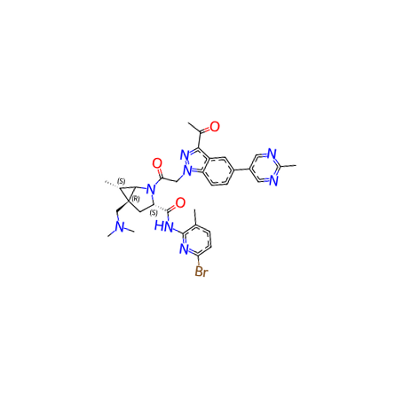 CC(=O)c1nn(CC(=O)N2C3[C@@H](C)[C@@]3(CN(C)C)C[C@H]2C(=O)Nc2nc(Br)ccc2C)c2ccc(-c3cnc(C)nc3)cc12